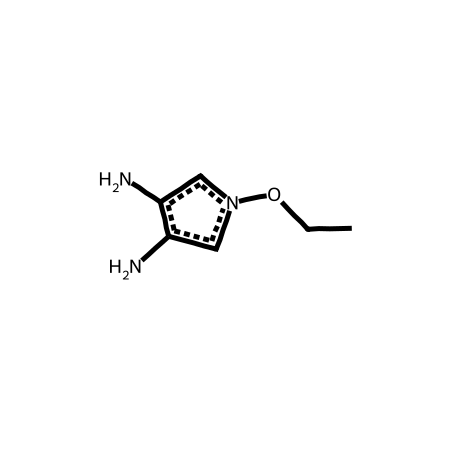 CCOn1cc(N)c(N)c1